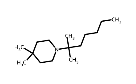 CCCCCC(C)(C)N1CCC(C)(C)CC1